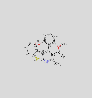 CC(=O)C(OC(C)(C)C)c1c(C)nc2sc3c(c2c1-c1ccccc1O)CCCC3